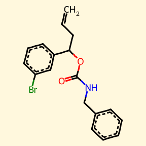 C=CCC(OC(=O)NCc1ccccc1)c1cccc(Br)c1